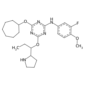 CCC(Oc1nc(Nc2ccc(OC)c(F)c2)nc(OC2CCCCCC2)n1)C1CCCN1